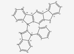 c1ccc(-n2c(-n3c4cc5sc6ccccc6c5cc4c4ncccc43)nc3ccccc32)cc1